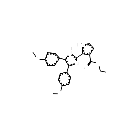 CCOC(=O)c1cc[nH]c1-c1nc(-c2ccc(OC)cc2)c(-c2ccc(OC)cc2)[nH]1